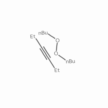 CCC#CCC.CCCCOOCCCC